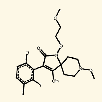 COCCON1C(=O)C(c2c(Cl)ccc(C)c2F)=C(O)C12CCN(OC)CC2